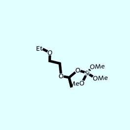 CCOCCOC(C)O[Si](OC)(OC)OC